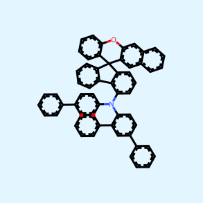 c1ccc(-c2ccc(N(c3ccc(-c4ccccc4)cc3-c3ccccc3)c3cccc4c3-c3ccccc3C43c4ccccc4Oc4cc5ccccc5cc43)cc2)cc1